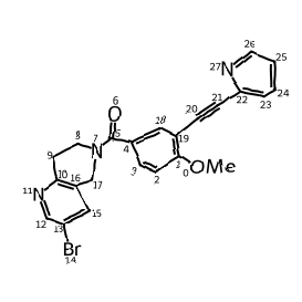 COc1ccc(C(=O)N2CCc3ncc(Br)cc3C2)cc1C#Cc1ccccn1